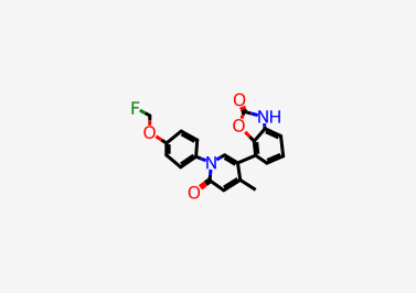 Cc1cc(=O)n(-c2ccc(OCF)cc2)cc1-c1cccc2[nH]c(=O)oc12